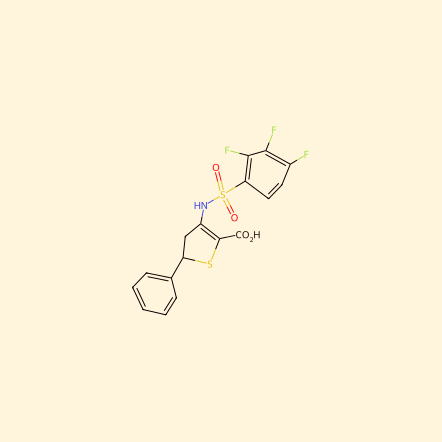 O=C(O)C1=C(NS(=O)(=O)c2ccc(F)c(F)c2F)CC(c2ccccc2)S1